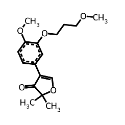 COCCCOc1cc(C2=COC(C)(C)C2=O)ccc1OC